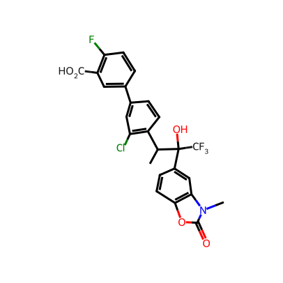 CC(c1ccc(-c2ccc(F)c(C(=O)O)c2)cc1Cl)C(O)(c1ccc2oc(=O)n(C)c2c1)C(F)(F)F